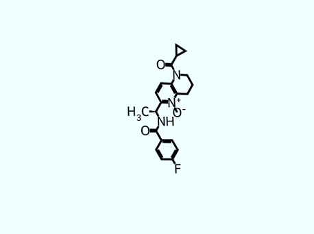 C[C@H](NC(=O)c1ccc(F)cc1)c1ccc2c([n+]1[O-])CCCN2C(=O)C1CC1